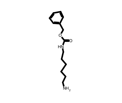 NCCCCCCNC(=O)OCc1ccccc1